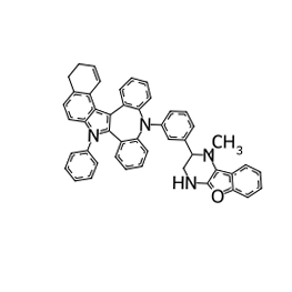 CN1c2c(oc3ccccc23)NCC1c1cccc(N2c3ccccc3-c3c(n(-c4ccccc4)c4ccc5c(c34)C=CCC5)-c3ccccc32)c1